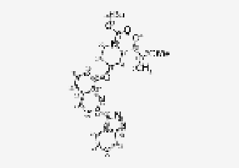 CON(C)C(=O)[C@@H]1C[C@@H](Oc2cccc3ccc(-c4nnc5ccccn45)nc23)CCN1C(=O)OC(C)(C)C